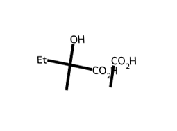 CC(=O)O.CCC(C)(O)C(=O)O